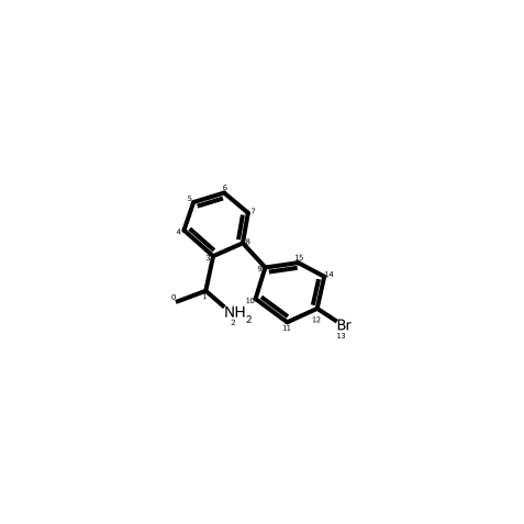 CC(N)c1ccccc1-c1ccc(Br)cc1